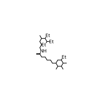 C=C(CCCCCC1CC(CC)C(C)C(C)C1C)NCCCC(C)C(CC)C(CC)CC